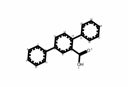 O=C(O)c1cc(-c2ccccc2)ccc1-c1ccccc1